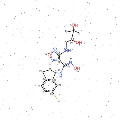 CC(C)(O)[C@@H](O)CNc1nonc1/C(=N/O)NC1CCc2ccc(F)cc21